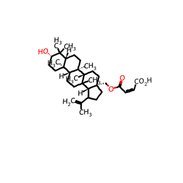 C=C(C)C1CC[C@]2(COC(=O)/C=C\C(=O)O)CC[C@]3(C)C(C)(CC[C@@H]4[C@@]5(C)CC[C@H](O)C(C)(C)[C@@H]5CC[C@]43C)[C@@H]12